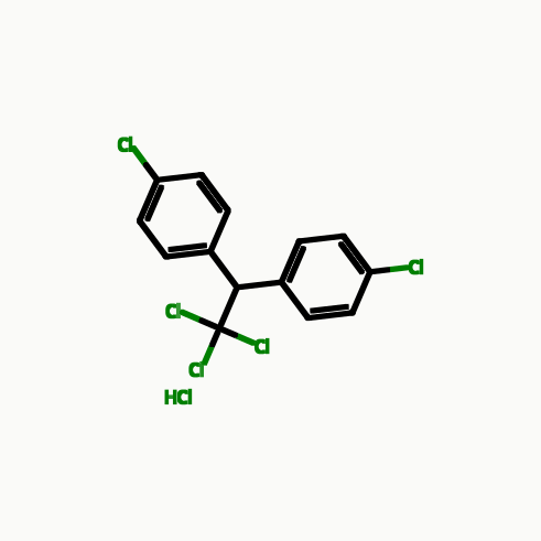 Cl.Clc1ccc(C(c2ccc(Cl)cc2)C(Cl)(Cl)Cl)cc1